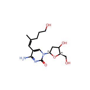 CC(=Cc1cn([C@H]2CC(O)[C@@H](CO)O2)c(=O)nc1N)CCCO